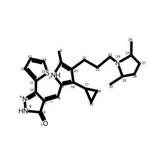 Cc1[nH]c(/C=C2/C(=O)NN=C2c2cccs2)c(C2CC2)c1CCCN1C(C)CCC1C